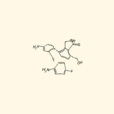 Nc1ccc(-c2ccc(CO)c3c2CNC3=O)c(F)c1.Nc1ccc(F)cc1